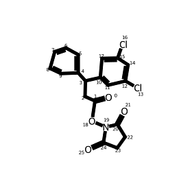 O=C(CC(c1ccccc1)c1cc(Cl)cc(Cl)c1)ON1C(=O)CCC1=O